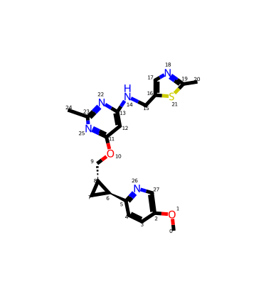 COc1ccc([C@H]2C[C@@H]2COc2cc(NCc3cnc(C)s3)nc(C)n2)nc1